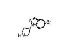 Brc1ccc2c(cnn2C2CCNCC2)c1